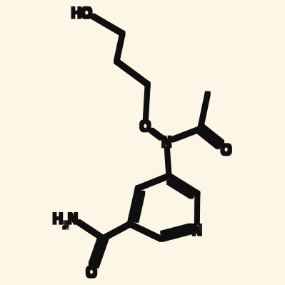 CC(=O)N(OCCCO)c1cncc(C(N)=O)c1